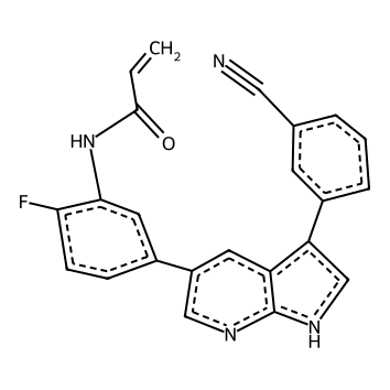 C=CC(=O)Nc1cc(-c2cnc3[nH]cc(-c4cccc(C#N)c4)c3c2)ccc1F